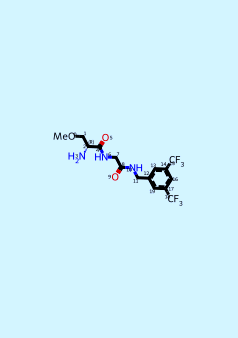 COC[C@@H](N)C(=O)NCC(=O)NCc1cc(C(F)(F)F)cc(C(F)(F)F)c1